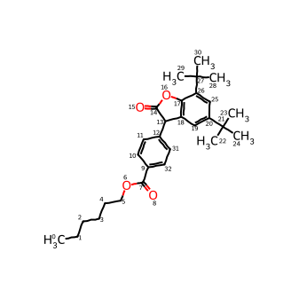 CCCCCCOC(=O)c1ccc(C2C(=O)Oc3c2cc(C(C)(C)C)cc3C(C)(C)C)cc1